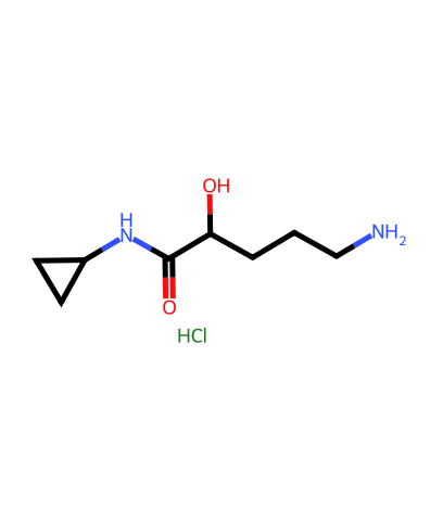 Cl.NCCCC(O)C(=O)NC1CC1